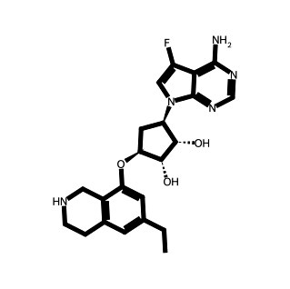 CCc1cc2c(c(O[C@H]3C[C@@H](n4cc(F)c5c(N)ncnc54)[C@H](O)[C@@H]3O)c1)CNCC2